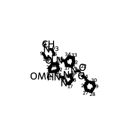 COc1cc(N2CCN(C)CC2)ccc1Nc1nccc(N(C(=O)OCc2ccccc2)c2cccc([N+](=O)[O-])c2)n1